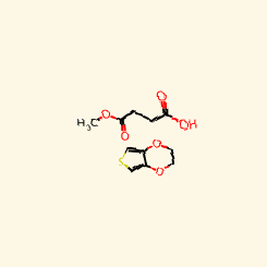 COC(=O)CCC(=O)O.c1scc2c1OCCO2